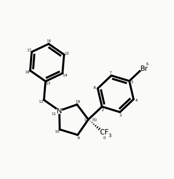 FC(F)(F)[C@]1(c2ccc(Br)cc2)CCN(Cc2ccccc2)C1